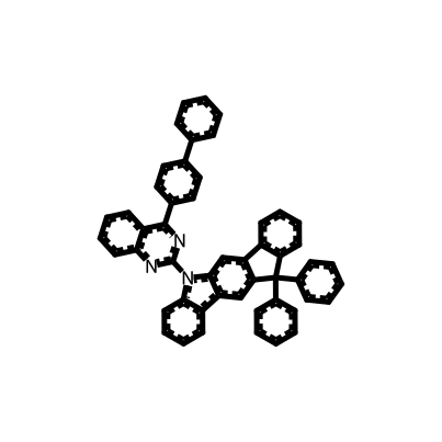 c1ccc(-c2ccc(-c3nc(-n4c5ccccc5c5cc6c(cc54)-c4ccccc4C6(c4ccccc4)c4ccccc4)nc4ccccc34)cc2)cc1